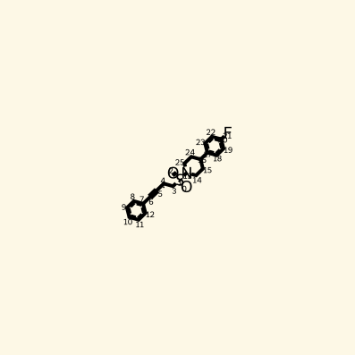 O=S(=O)(C[CH]C#Cc1ccccc1)N1CCC(c2ccc(F)cc2)CC1